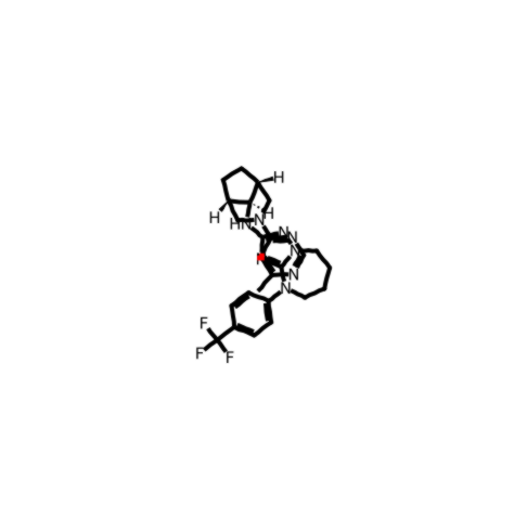 Cc1cc(N2C[C@H]3CC[C@@H](C2)[C@@H]3Nc2nc3n(n2)CCCCN3c2ccc(C(F)(F)F)cc2)ncn1